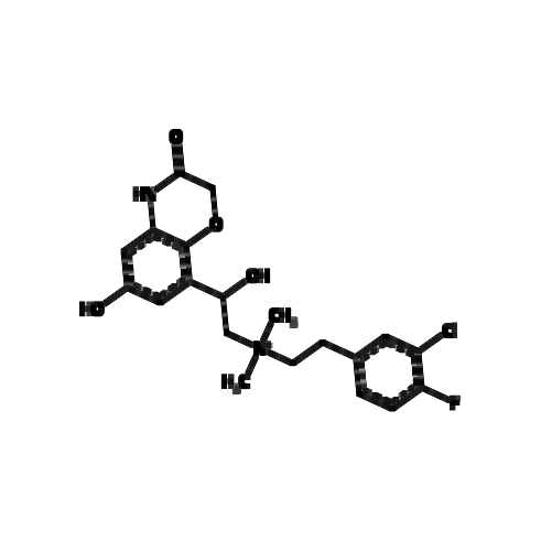 C[N+](C)(CCc1ccc(F)c(Cl)c1)CC(O)c1cc(O)cc2c1OCC(=O)N2